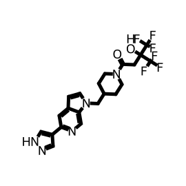 O=C(CC(O)(C(F)(F)F)C(F)(F)F)N1CCC(Cn2ccc3cc(-c4cn[nH]c4)ncc32)CC1